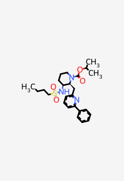 CCCCS(=O)(=O)N[C@H]1CCCN(C(=O)OC(C)C)[C@H]1Cc1cccc(-c2ccccc2)n1